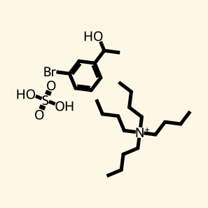 CC(O)c1cccc(Br)c1.CCCC[N+](CCCC)(CCCC)CCCC.O=S(=O)(O)O